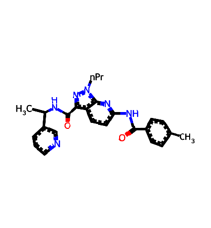 CCCn1nc(C(=O)NC(C)c2cccnc2)c2ccc(NC(=O)c3ccc(C)cc3)nc21